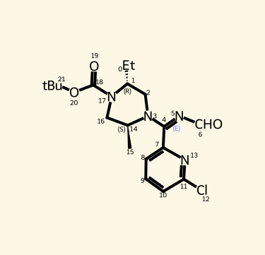 CC[C@@H]1CN(/C(=N/C=O)c2cccc(Cl)n2)[C@@H](C)CN1C(=O)OC(C)(C)C